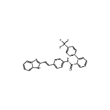 O=C(Nc1ccc(C=Cc2nc3ccccc3[nH]2)cc1)c1ccccc1-c1ccc(C(F)(F)F)cc1